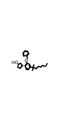 CCCCCCC(C)(C)c1ccc([C@@H]2CC[C@@H](O)C2)c(OCc2ccccc2)c1